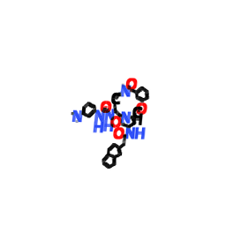 CN1CCC[C@H](NC(=O)Nc2cccc(N(C)C)c2)C(=O)N2C[C@@H](NC(=O)Cc3ccc4ccccc4c3)C[C@H]2COc2cccc(c2)C1=O